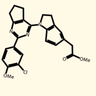 COC(=O)Cc1ccc2c(c1)CCN2c1nc(-c2ccc(OC)c(Cl)c2)nc2c1CCC2